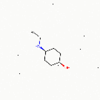 CC(C)CN[C@H]1CC[C@@H](O)CC1